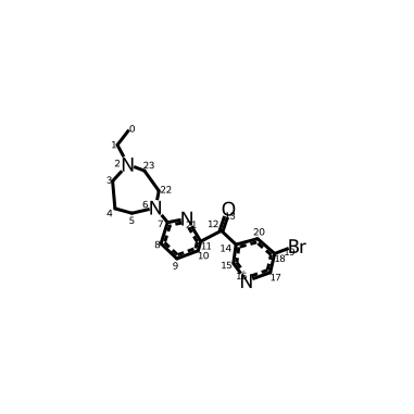 CCN1CCCN(c2cccc(C(=O)c3cncc(Br)c3)n2)CC1